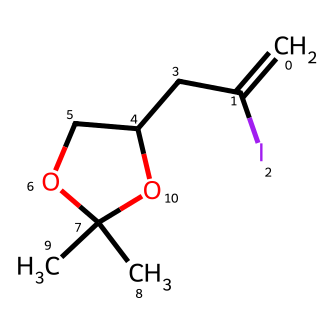 C=C(I)CC1COC(C)(C)O1